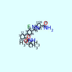 CC(C)(C)NS(=O)(=O)c1ccccc1-c1ccc(-c2cn3cc(C(N)=O)ccc3n2)c(F)c1